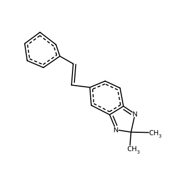 CC1(C)N=c2ccc(C=Cc3ccccc3)cc2=N1